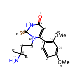 COc1ccc(-c2cc(=O)[nH]c(=S)n2CCC(C)(C)N)c(OC)c1